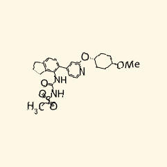 CO[C@H]1CC[C@H](Oc2cc(-c3ccc4c(c3NC(=O)NS(C)(=O)=O)CCC4)ccn2)CC1